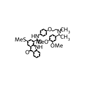 COc1ccc(C(C)N(C)CCOc2ccc(NC(=O)c3cc(SC)cc4c(=O)c5ccccc5[nH]c34)cc2)cc1OC